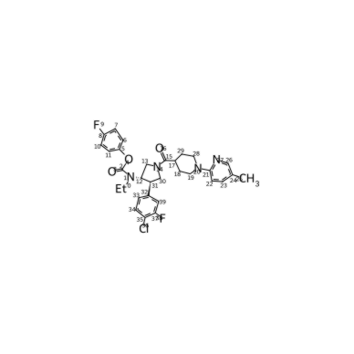 CCN(C(=O)Oc1ccc(F)cc1)[C@@H]1CN(C(=O)C2CCN(c3ccc(C)cn3)CC2)C[C@H]1c1ccc(Cl)c(F)c1